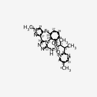 Cc1cnc(C(C)C(C)S(=O)(=O)Nc2nnc(-c3ccn(C)n3)n2-c2c(F)cccc2F)nc1